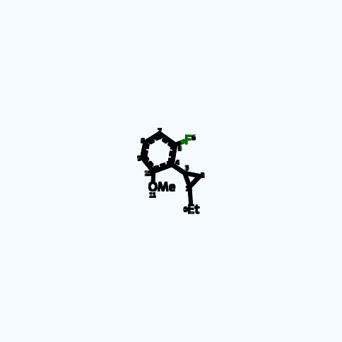 CCC1CC1c1c(F)cccc1OC